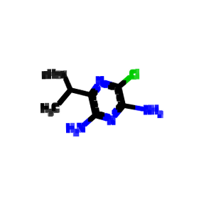 CCCCCCC(C)c1nc(Cl)c(N)nc1N